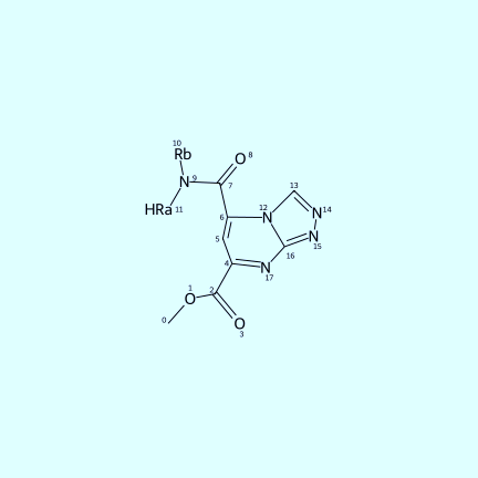 COC(=O)c1cc(C(=O)[N]([Rb])[RaH])n2cnnc2n1